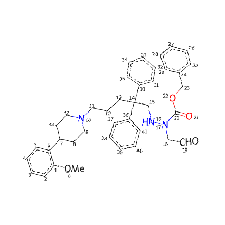 COc1ccccc1C1CCN(CCCC(CNN(CC=O)C(=O)OCc2ccccc2)(c2ccccc2)c2ccccc2)CC1